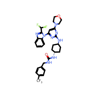 O=C(NCc1ccc(C(F)(F)F)cc1)N[C@H]1CC[C@H](Nc2nc(N3CCOCC3)cc(-n3c(C(F)F)nc4ccccc43)n2)CC1